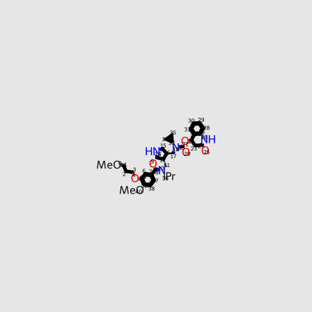 COCCCOc1cc(C(=O)N(C[C@@H]2CNC[C@H]2CN(C(=O)OC2CC(=O)Nc3ccccc32)C2CC2)C(C)C)ccc1OC